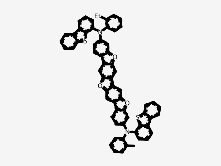 CCc1ccccc1N(c1ccc2c(c1)oc1cc3c(cc12)oc1cc2c(cc13)oc1cc(N(c3ccccc3C)c3cccc4c3sc3ccccc34)ccc12)c1cccc2c1sc1ccccc12